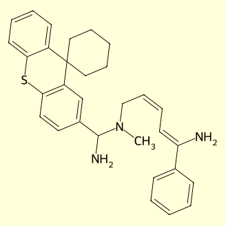 CN(C/C=C\C=C(/N)c1ccccc1)C(N)c1ccc2c(c1)C1(CCCCC1)c1ccccc1S2